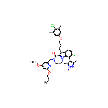 Cc1cc(OCCCc2c3n(c4c(-c5c(C)nn(C)c5C)c(Cl)ccc24)CCCN(Cc2cc(OC=O)cc(OCCC(C)C)n2)C3=O)cc(C)c1Cl